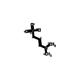 CN(C)C=CCS(=O)(=O)Cl